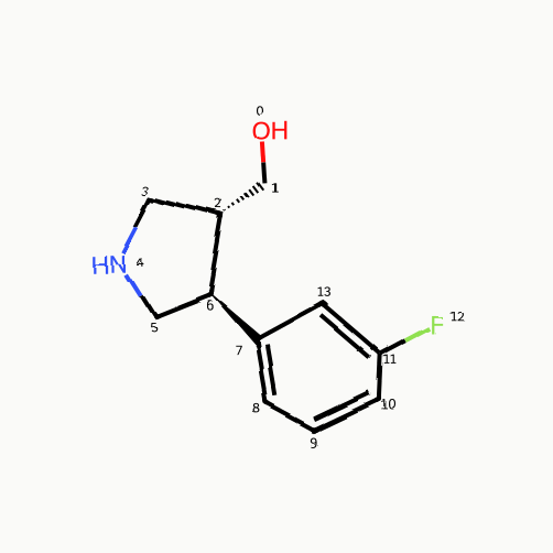 OC[C@H]1CNC[C@@H]1c1cccc(F)c1